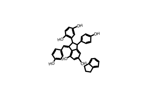 Oc1ccc(C=C2c3c(O)cc(O)cc3C(c3ccc(O)cc3)C2c2cc(O)ccc2O)cc1.c1ccc2c(c1)CCC2